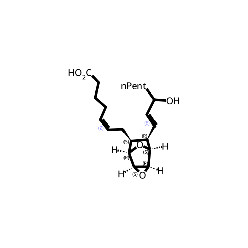 CCCCCC(O)/C=C/[C@@H]1[C@H](C/C=C\CCCC(=O)O)[C@H]2O[C@@H]1[C@H]1O[C@H]12